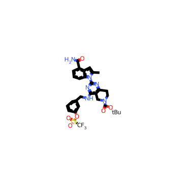 Cc1cc2c(C(N)=O)cccc2n1-c1nc2c(c(NCc3cccc(OS(=O)(=O)C(F)(F)F)c3)n1)CN(C(=O)OC(C)(C)C)CC2